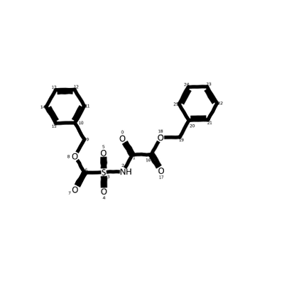 O=C(NS(=O)(=O)C(=O)OCc1ccccc1)C(=O)OCc1ccccc1